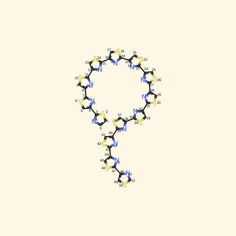 [c]1csc(-c2csc(-c3csc(-c4csc(-c5csc(-c6csc(-c7csc(-c8csc(-c9csc(-c%10csc(-c%11csc(-c%12csc(-c%13cscn%13)n%12)n%11)n%10)n9)n8)n7)n6)n5)n4)n3)n2)n1